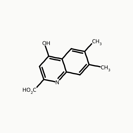 Cc1cc2nc(C(=O)O)cc(O)c2cc1C